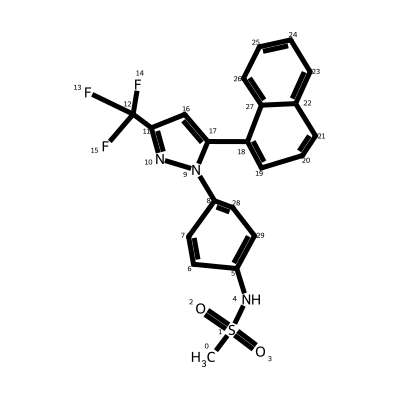 CS(=O)(=O)Nc1ccc(-n2nc(C(F)(F)F)cc2-c2cccc3ccccc23)cc1